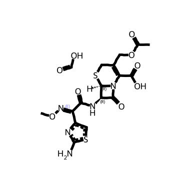 CO/N=C(/C(=O)N[C@@H]1C(=O)N2C(C(=O)O)=C(COC(C)=O)CS[C@H]12)c1csc(N)n1.O=CO